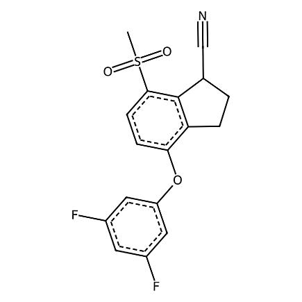 CS(=O)(=O)c1ccc(Oc2cc(F)cc(F)c2)c2c1C(C#N)CC2